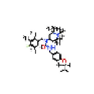 [2H]c1c([2H])c(CN(C(=O)NCc2ccc(OC([2H])([2H])C(C)C)cc2)C2CC([2H])([2H])N(C([2H])([2H])[2H])C([2H])([2H])C2)c([2H])c([2H])c1F